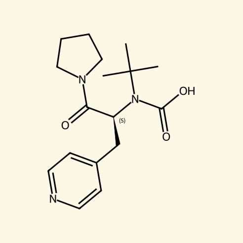 CC(C)(C)N(C(=O)O)[C@@H](Cc1ccncc1)C(=O)N1CCCC1